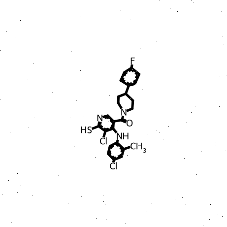 Cc1cc(Cl)ccc1Nc1c(C(=O)N2CCC(c3ccc(F)cc3)CC2)cnc(S)c1Cl